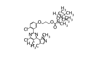 Cc1cnn(C)c1-c1nc(-c2cc(OCCCOC(=O)N(C)O[Si](C)(C)C(C)(C)C)ccc2Cl)nc(Cl)c1C